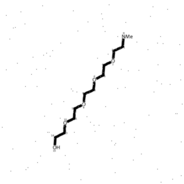 [CH2]NCCOCCOCCOCCOCCO